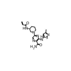 C=CC(=O)N[C@H]1CCCN(c2cnc(C(N)=O)c(Nc3cc(C)ns3)n2)C1